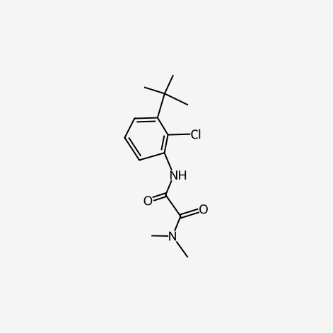 CN(C)C(=O)C(=O)Nc1cccc(C(C)(C)C)c1Cl